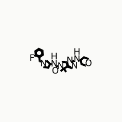 CC1(C)c2cnc(NC3CCOCC3)nc2CN1C(=O)NC1CCN(Cc2ccccc2F)C1